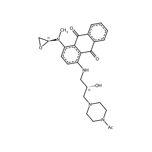 CC(=O)N1CCN(C[C@@H](O)CNc2ccc(N(C)[C@@H]3CO3)c3c2C(=O)c2ccccc2C3=O)CC1